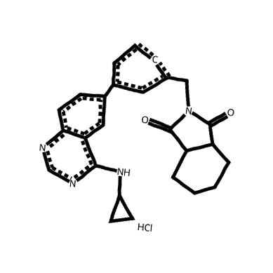 Cl.O=C1C2CCCCC2C(=O)N1Cc1cccc(-c2ccc3ncnc(NC4CC4)c3c2)c1